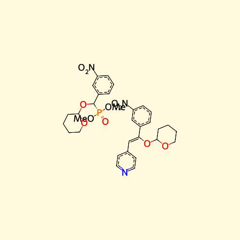 COP(=O)(OC)C(OC1CCCCO1)c1cccc([N+](=O)[O-])c1.O=[N+]([O-])c1cccc(C(=Cc2ccncc2)OC2CCCCO2)c1